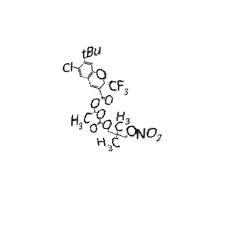 CC(OC(=O)OCC(C)(C)CO[N+](=O)[O-])OC(=O)C1=Cc2cc(Cl)c(C(C)(C)C)cc2O[C@@H]1C(F)(F)F